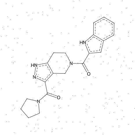 O=C(c1cc2ccccc2[nH]1)N1CCc2[nH]nc(C(=O)N3CCCC3)c2C1